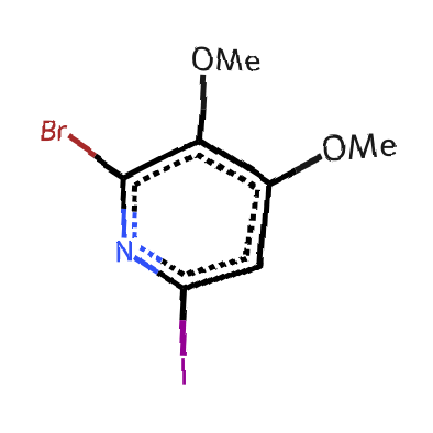 COc1cc(I)nc(Br)c1OC